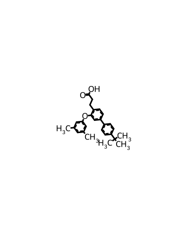 Cc1cc(C)cc(Oc2cc(-c3ccc(C(C)(C)C)cc3)ccc2CCC(=O)O)c1